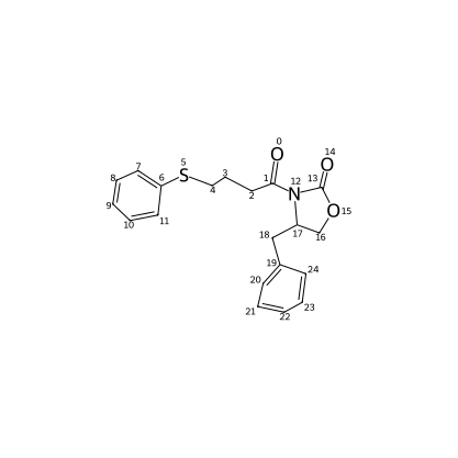 O=C(CCCSc1ccccc1)N1C(=O)OCC1Cc1ccccc1